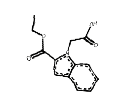 CCOC(=O)c1cc2ccccc2n1CC(=O)O